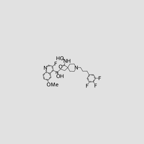 COc1ccc2ncc(F)c([C@H](O)CCC3(C(=O)NO)CCN(CCCc4cc(F)c(F)c(F)c4)CC3)c2c1